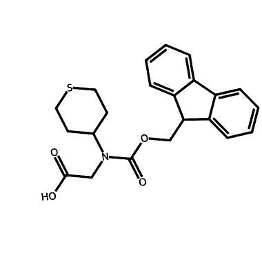 O=C(O)CN(C(=O)OCC1c2ccccc2-c2ccccc21)C1CCSCC1